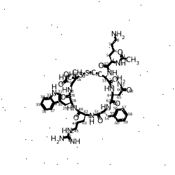 CC(=O)N[C@H](CCCCN)C(=O)N[C@H]1CCSSC(C)(C)[C@@H](C(=O)O)NC(=O)[C@H](Cc2c[nH]c3ccccc23)NC(=O)[C@H](CCCNC(=N)N)NC(=O)[C@@H](Cc2ccccc2)NC(=O)[C@H](CC(N)=O)NC1=O